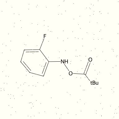 CC(C)(C)C(=O)ONc1ccccc1F